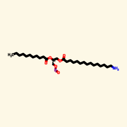 CCCCCCCCCCC(=O)O[C@@H](COP=O)COC(=O)CCCCCCCCCCCCCCN